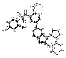 COc1ncc(-c2ccc3nc(N)n(C4CCCC4N4CCOCC4)c3c2)cc1NS(=O)(=O)c1ccc(F)cc1F